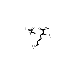 NCCCCC(N)C(=O)O.O=C([O-])[O-].[Na+].[Na+]